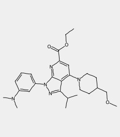 CCOC(=O)c1cc(N2CCC(COC)CC2)c2c(C(C)C)nn(-c3cccc(N(C)C)c3)c2n1